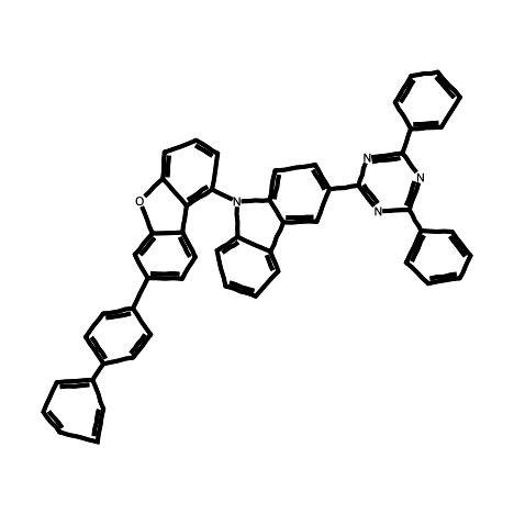 c1ccc(-c2ccc(-c3ccc4c(c3)oc3cccc(-n5c6ccccc6c6cc(-c7nc(-c8ccccc8)nc(-c8ccccc8)n7)ccc65)c34)cc2)cc1